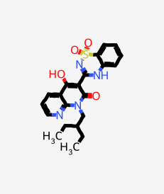 CCC(CC)Cn1c(=O)c(C2=NS(=O)(=O)c3ccccc3N2)c(O)c2cccnc21